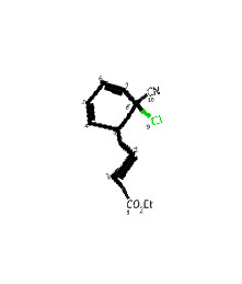 CCOC(=O)C=CC1C=CC=CC1(Cl)C#N